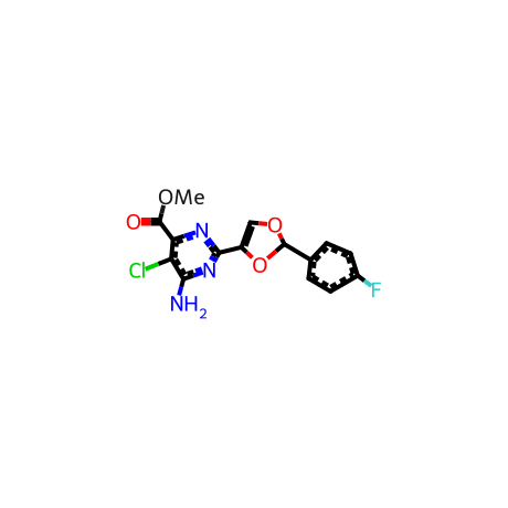 COC(=O)c1nc(C2=COC(c3ccc(F)cc3)O2)nc(N)c1Cl